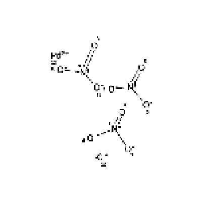 O=[N+]([O-])[O-].O=[N+]([O-])[O-].O=[N+]([O-])[O-].[Cl+].[Pd+2]